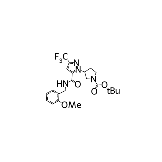 COc1ccccc1CNC(=O)c1cc(C(F)(F)F)nn1C1CCN(C(=O)OC(C)(C)C)C1